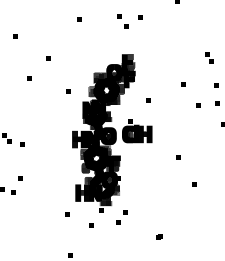 Cl.O=C(Nc1ccc(C2CNCCO2)c(F)c1)c1cnn(-c2ccc(OC(F)F)cc2)c1